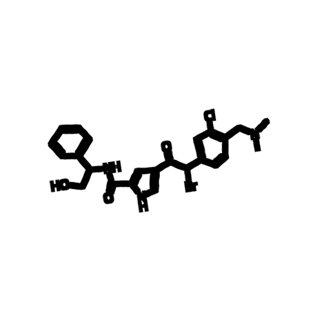 CN(C)Cc1ccc(C(Br)C(=O)c2c[nH]c(C(=O)NC(CO)c3ccccc3)c2)cc1Cl